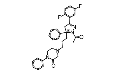 CC(=O)N1N=C(c2cc(F)ccc2F)C[C@@]1(CCCN1CCN(c2ccccc2)C(=O)C1)c1ccccc1